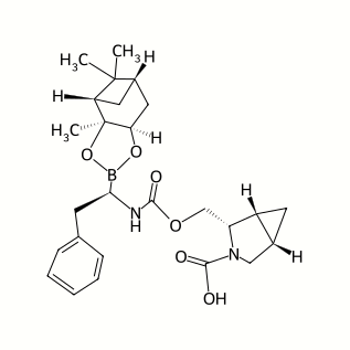 CC1(C)[C@@H]2C[C@H]3OB([C@H](Cc4ccccc4)NC(=O)OC[C@@H]4[C@@H]5C[C@@H]5CN4C(=O)O)O[C@@]3(C)[C@H]1C2